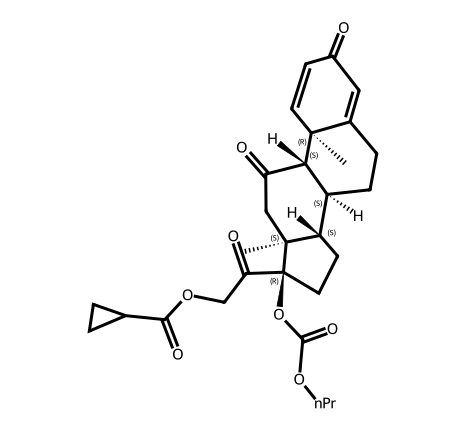 CCCOC(=O)O[C@]1(C(=O)COC(=O)C2CC2)CC[C@H]2[C@@H]3CCC4=CC(=O)C=C[C@]4(C)[C@H]3C(=O)C[C@@]21C